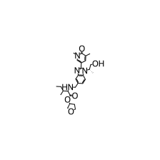 CCC(C)C(NCc1ccc2c(c1)nc(-c1cc(C)c(=O)n(C)c1)n2[C@@H](C)CO)C(=O)OC1CCOC1